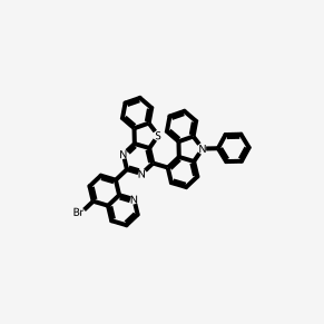 Brc1ccc(-c2nc(-c3cccc4c3c3ccccc3n4-c3ccccc3)c3sc4ccccc4c3n2)c2ncccc12